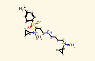 Cc1ccc(S(=O)(=O)C(CCNCCCCN(C)C2CC2)N(C)C2CC2)cc1